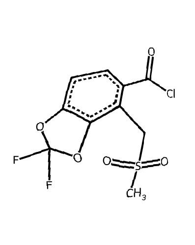 CS(=O)(=O)Cc1c(C(=O)Cl)ccc2c1OC(F)(F)O2